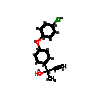 C#CC(C)(O)c1ccc(Oc2ccc(Cl)cc2)cc1